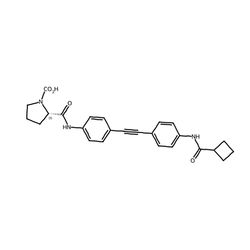 O=C(Nc1ccc(C#Cc2ccc(NC(=O)[C@@H]3CCCN3C(=O)O)cc2)cc1)C1CCC1